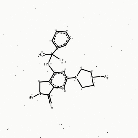 CC(=O)N1CCN(c2nc(NC(C)(C)c3ccccc3)c3c(n2)C(=O)N(C(C)C)C3)CC1